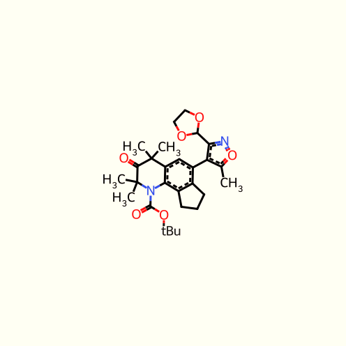 Cc1onc(C2OCCO2)c1-c1cc2c(c3c1CCC3)N(C(=O)OC(C)(C)C)C(C)(C)C(=O)C2(C)C